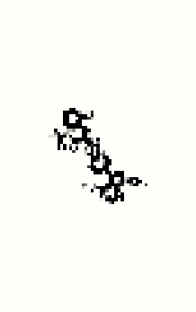 CCC(CC)n1c2c(cc(C(=O)Nc3ccc(-c4cn(C)c5ncnc(N)c45)cn3)c1=O)C(=O)CCC2